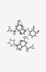 FC(F)(F)c1nc(NC2CC2)c2ncn(C3CCCC3)c2n1.Fc1cccc(Cn2cnc3c(NC4CC4)nc(C(F)(F)F)nc32)c1F